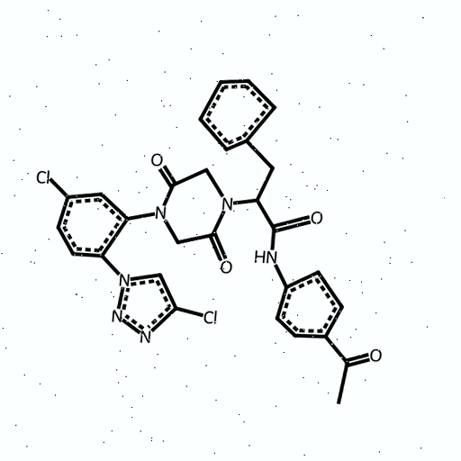 CC(=O)c1ccc(NC(=O)C(Cc2ccccc2)N2CC(=O)N(c3cc(Cl)ccc3-n3cc(Cl)nn3)CC2=O)cc1